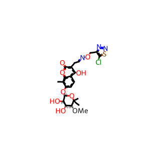 CO[C@@H]1[C@H](O)[C@@H](O)[C@H](Oc2ccc3c(O)c(CC=NOCc4nnsc4Cl)c(=O)oc3c2C)OC1(C)C